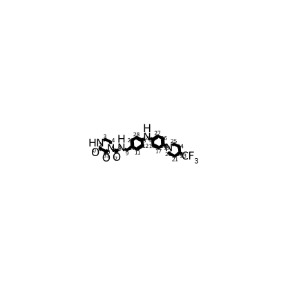 O=C1NCCN(C(=O)NCc2ccc(Nc3ccc(N4CCC(C(F)(F)F)CC4)cc3)cc2)C1=O